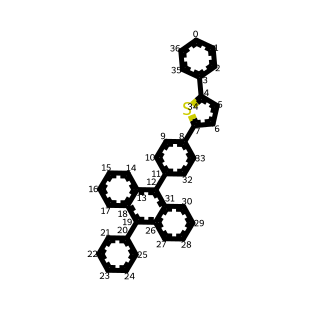 c1ccc(-c2ccc(-c3ccc(-c4c5ccccc5c(-c5ccccc5)c5ccccc45)cc3)s2)cc1